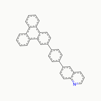 c1cnc2ccc(-c3ccc(-c4ccc5c6ccccc6c6ccccc6c5c4)cc3)cc2c1